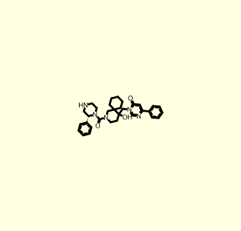 O=C(N1CCC(O)(Cn2cnc(-c3ccccc3)cc2=O)C2(CCCCC2)C1)N1CCNC[C@H]1c1ccccc1